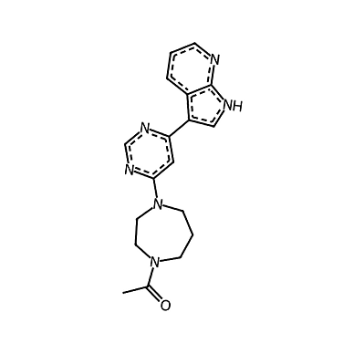 CC(=O)N1CCCN(c2cc(-c3c[nH]c4ncccc34)ncn2)CC1